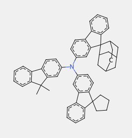 CC1(C)c2ccccc2-c2ccc(N(c3ccc4c(c3)-c3ccccc3C43CCCC3)c3ccc4c(c3)C3(c5ccccc5-4)C4CCC5CC(C4)CC3C5)cc21